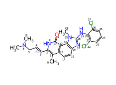 Cc1c(/C=C/CN(C)C)[nH]c(=O)c2c1ccc1nc(Nc3c(Cl)cccc3Cl)n(C)c12